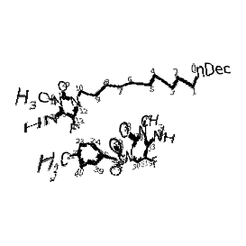 CCCCCCCCCCCCCCCCCCCCn1cc(F)c(=N)n(C)c1=O.Cc1ccc(S(=O)(=O)n2cc(F)c(=N)n(C)c2=O)cc1